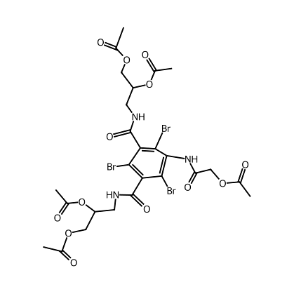 CC(=O)OCC(=O)Nc1c(Br)c(C(=O)NCC(COC(C)=O)OC(C)=O)c(Br)c(C(=O)NCC(COC(C)=O)OC(C)=O)c1Br